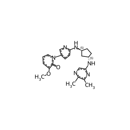 COc1cccn(-c2ccc(N[C@H]3CC[C@H](Nc4cnc(C)c(C)n4)C3)nc2)c1=O